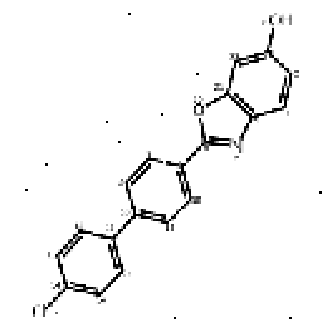 Oc1ccc2nc(-c3ccc(-c4ccc(Cl)cc4)cc3)oc2c1